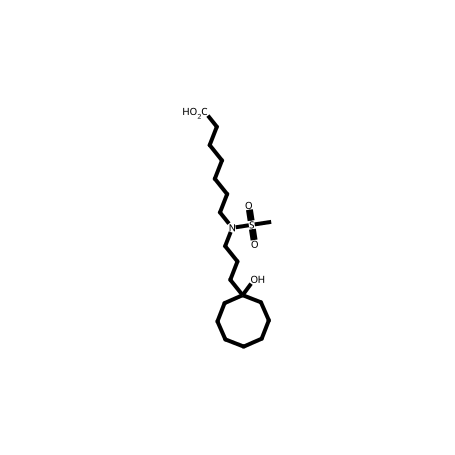 CS(=O)(=O)N(CCCCCCC(=O)O)CCCC1(O)CCCCCCC1